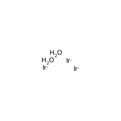 O.O.[Ir].[Ir].[Ir]